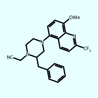 COc1ccc(N2CCN(CC#N)C(Cc3ccccc3)C2)c2ccc(C(F)(F)F)nc12